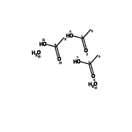 CC(=O)O.CC(=O)O.CC(=O)O.O.O